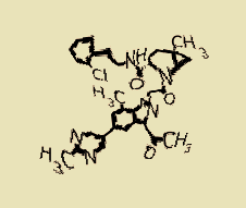 CC(=O)c1nn(CC(=O)N2C3C[C@]3(C)C[C@H]2C(=O)NCCc2ccccc2Cl)c2c(C)cc(-c3cnc(C)nc3)cc12